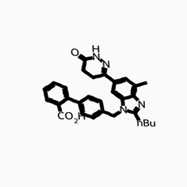 CCCCc1nc2c(C)cc(C3=NNC(=O)CC3)cc2n1Cc1ccc(-c2ccccc2C(=O)O)cc1